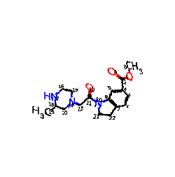 COC(=O)c1ccc2c(c1)N(C(=O)CN1CCNC(C)C1)CC2